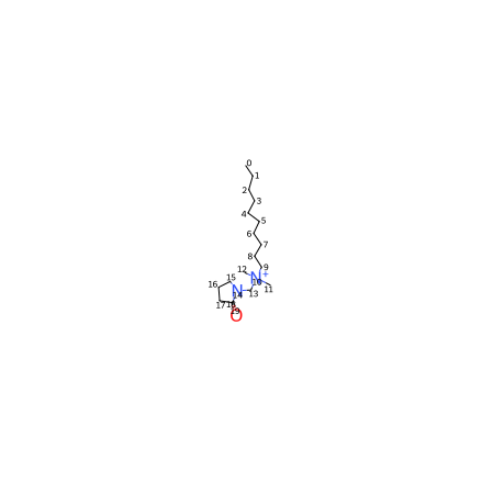 CCCCCCCCCC[N+](C)(C)CN1CCCC1=O